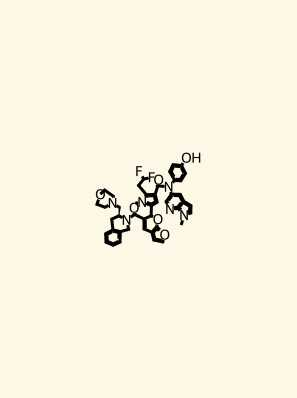 Cn1c(C2Oc3occc3C=C2C(=O)N2Cc3ccccc3C[C@H]2CN2CCOCC2)cc(C(=O)N(c2ccc(O)cc2)c2cnc3c(ccn3C)c2)c1CC(F)F